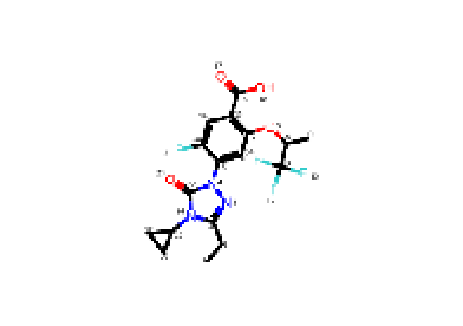 CCc1nn(-c2cc(OC(C)C(F)(F)F)c(C(=O)O)cc2F)c(=O)n1C1CC1